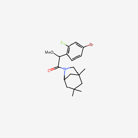 COC(C(=O)N1CC2(C)CC1CC(C)(C)C2)c1ccc(Br)cc1F